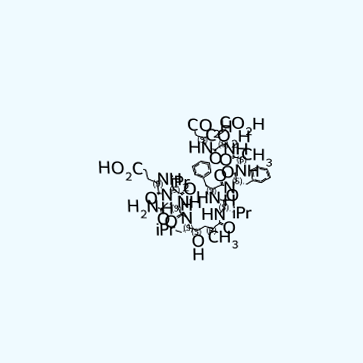 CC(C)C[C@H](NC(=O)[C@H](CC(N)=O)NC(=O)[C@@H](NC(=O)[C@@H](N)CCC(=O)O)C(C)C)[C@@H](O)C[C@@H](C)C(=O)N[C@H](C(=O)N[C@@H](Cc1ccccc1)C(=O)N[C@@H](Cc1ccccc1)C(=O)N[C@@H](C)C(=O)N[C@@H](CCC(=O)O)C(=O)N[C@@H](CC(=O)O)C(=O)O)C(C)C